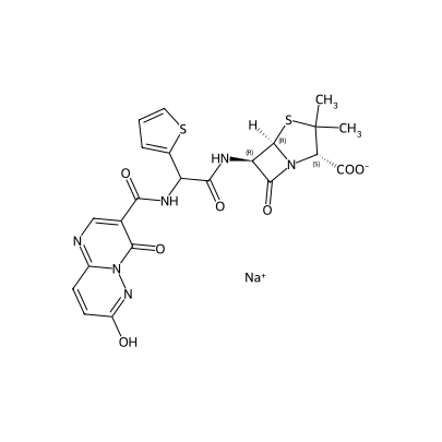 CC1(C)S[C@@H]2[C@H](NC(=O)C(NC(=O)c3cnc4ccc(O)nn4c3=O)c3cccs3)C(=O)N2[C@H]1C(=O)[O-].[Na+]